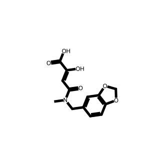 CN(Cc1ccc2c(c1)OCO2)C(=O)C=C(O)C(=O)O